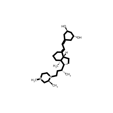 C[C@H](CCN1CCN(C)C[C@@H]1C)[C@H]1CC[C@H]2/C(=C/C=C3C[C@@H](O)C[C@H](O)C3)CCC[C@]12C